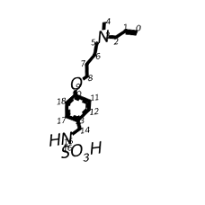 C=CCN(C)CCCCOc1ccc(CNS(=O)(=O)O)cc1